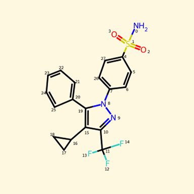 NS(=O)(=O)c1ccc(-n2nc(C(F)(F)F)c(C3CC3)c2-c2ccccc2)cc1